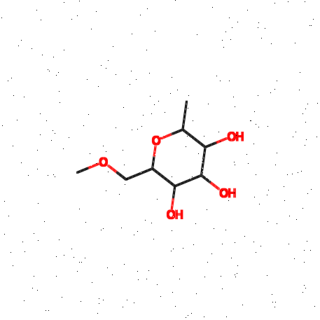 COCC1OC(C)C(O)C(O)C1O